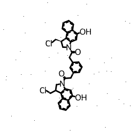 O=C(Cc1cccc(CC(=O)N2C[C@@H](CCl)c3c2cc(O)c2ccccc32)c1)N1CC(CCl)c2c1cc(O)c1ccccc21